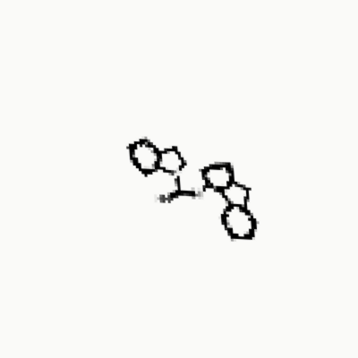 N=C(Nc1cccc2c1-c1ccccc1C2)N1CCc2ccccc21